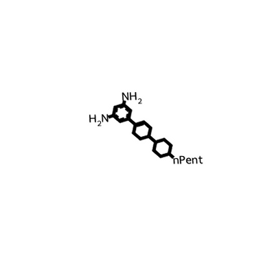 CCCCCC1CCC(C2CC=C(c3cc(N)cc(N)c3)CC2)CC1